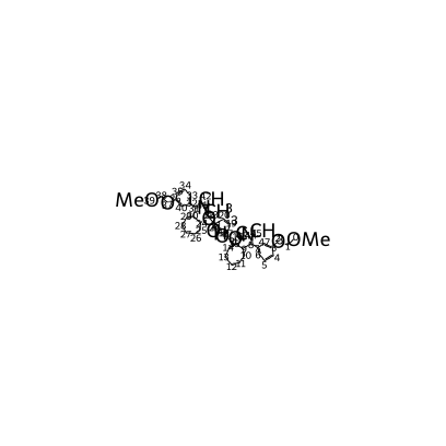 COCOc1cccc(C(C2CCCCCC2OC(=O)/C=C\C(=O)OC2CCCCCC2C(c2cccc(OCOC)c2)N(C)C)N(C)C)c1